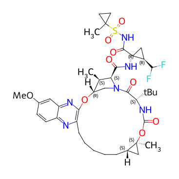 COc1ccc2nc3c(nc2c1)O[C@H]1CN(C(=O)[C@H](C(C)(C)C)NC(=O)O[C@@]2(C)C[C@@H]2CCCCC3)[C@H](C(=O)N[C@]2(C(=O)NS(=O)(=O)C3(C)CC3)C[C@H]2C(F)F)[C@@H]1C